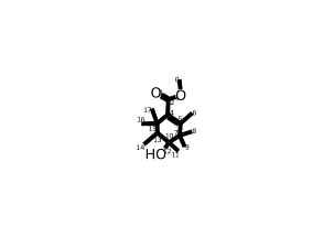 COC(=O)C1=C(C)C(C)(C)C(C)(O)C(C)C1(C)C